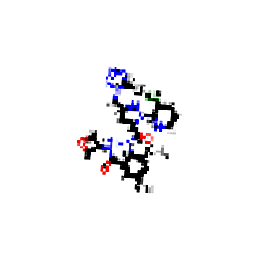 Cc1cc(C#N)cc(C(=O)NC2COC2)c1NC(=O)c1cc(Cn2nnnc2C(F)(F)F)nn1-c1ncccc1Cl